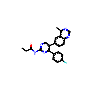 CCC(=O)Nc1ncc(-c2ccc3ncnc(C)c3c2)c(-c2ccc(F)cc2)n1